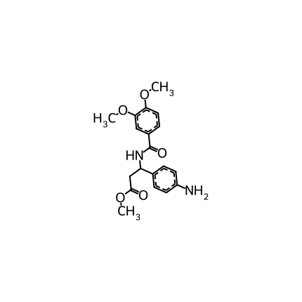 COC(=O)CC(NC(=O)c1ccc(OC)c(OC)c1)c1ccc(N)cc1